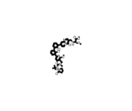 COC[C@@H](NCc1cnc2cc(-c3cccc(-c4cccc(-c5ccc(CN(C[C@@H]6CCC(=O)N6)C(=O)OC(C)(C)C)c(OC)n5)c4Cl)c3Cl)ccn2c1=O)C(=O)OC